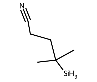 CC(C)([SiH3])CCC#N